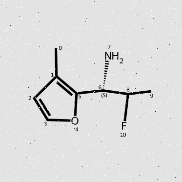 Cc1ccoc1[C@H](N)C(C)F